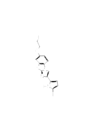 FCCOc1ccc2c(c1)sc1nc(-c3ccc(I)[nH]3)cn12